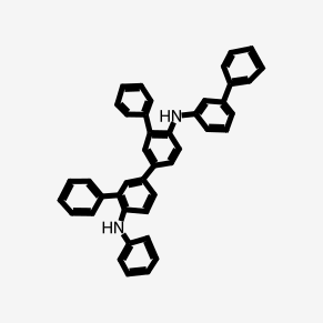 c1ccc(Nc2ccc(-c3ccc(Nc4cccc(-c5ccccc5)c4)c(-c4ccccc4)c3)cc2-c2ccccc2)cc1